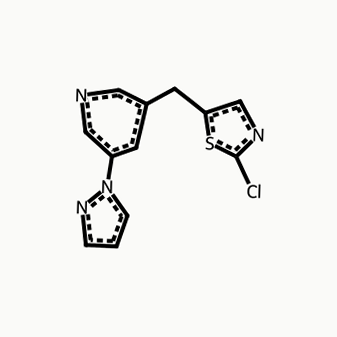 Clc1ncc(Cc2cncc(-n3cccn3)c2)s1